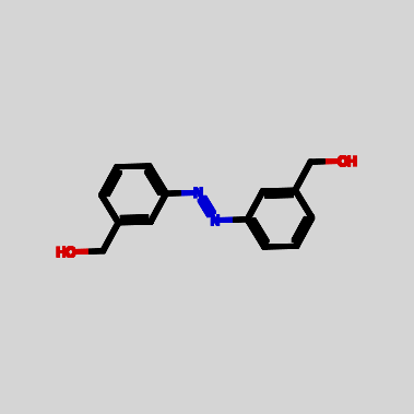 OCc1cccc(N=Nc2cccc(CO)c2)c1